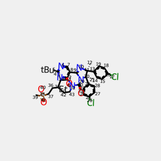 CCOc1nc(C(C)(C)C)ncc1C1=N[C@@](C)(c2ccc(Cl)cc2)[C@@](C)(c2ccc(Cl)cc2)N1C(=O)N1CCC(CCS(C)(=O)=O)CC1